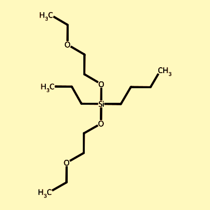 CCCC[Si](CCC)(OCCOCC)OCCOCC